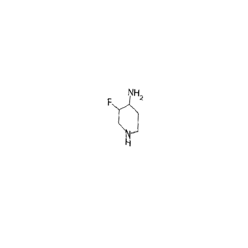 NC1CCNCC1F